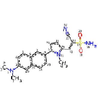 CN(C)c1ccc2cc(-c3ccc(/C=C(\C#N)S(N)(=O)=O)n3C)ccc2c1